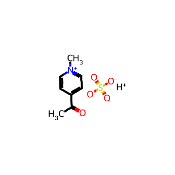 CC(=O)c1cc[n+](C)cc1.O=S(=O)([O-])[O-].[H+]